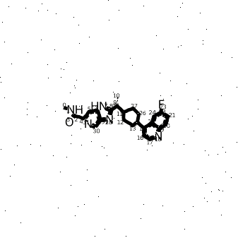 CNC(=O)c1cc2[nH]c([C@H](C)C3CCC(c4ccnc5ccc(F)cc45)CC3)nc2cn1